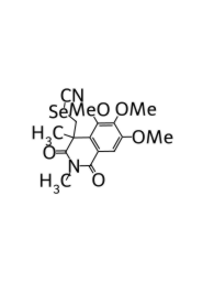 COc1cc2c(c(OC)c1OC)C(C)(C[Se]C#N)C(=O)N(C)C2=O